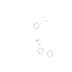 CCCCS(=O)(=O)N1Cc2c(CCC(=O)O)ccc(OCCc3nc(-c4cccc(-c5ccccc5)c4)oc3C)c2C1